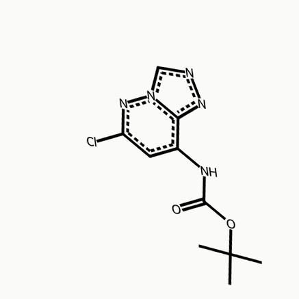 CC(C)(C)OC(=O)Nc1cc(Cl)nn2cnnc12